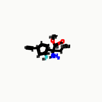 C#Cc1ccc(C(N)(CC(C)(C)C)C(=O)OC(C)C)c(F)c1